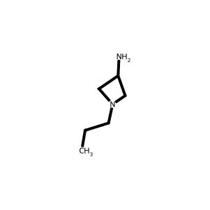 CCCN1CC(N)C1